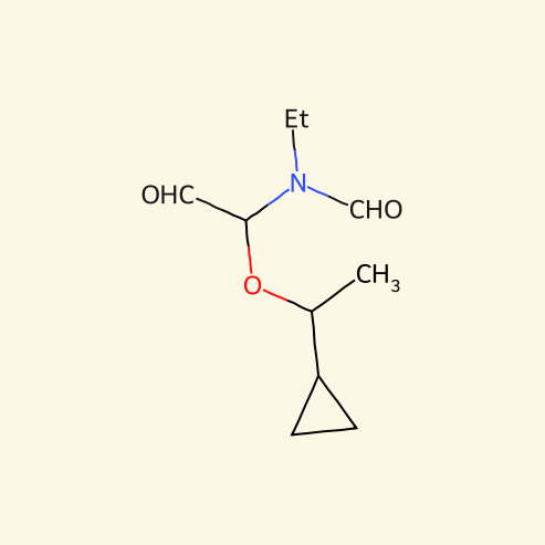 CCN(C=O)C(C=O)OC(C)C1CC1